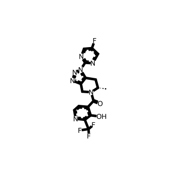 C[C@H]1Cc2c(nnn2-c2ncc(F)cn2)CN1C(=O)c1ccnc(C(F)(F)F)c1O